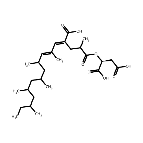 CCC(C)CC(C)CC(C)CC(C)/C=C(C)/C=C(\CC(C)C(=O)O[C@@H](CC(=O)O)C(=O)O)C(=O)O